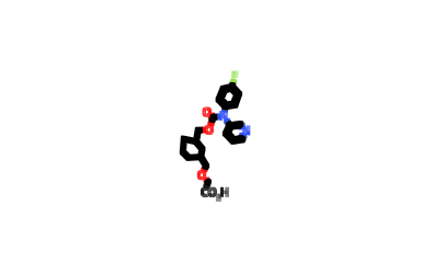 O=C(O)COCC1CCCC(COC(=O)N(c2ccc(F)cc2)c2cccnc2)C1